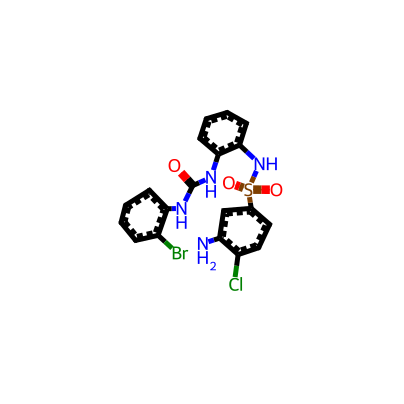 Nc1cc(S(=O)(=O)Nc2ccccc2NC(=O)Nc2ccccc2Br)ccc1Cl